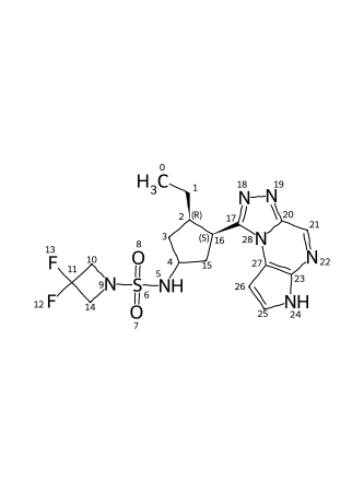 CC[C@@H]1CC(NS(=O)(=O)N2CC(F)(F)C2)C[C@@H]1c1nnc2cnc3[nH]ccc3n12